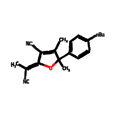 [C-]#[N+]/C(C)=C1\OC(C)(c2ccc(CCCC)cc2)C(C)=C1C#N